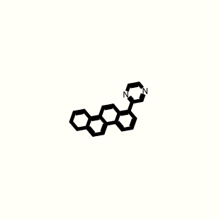 C1=Cc2c(ccc3c2ccc2c(-c4cnccn4)cccc23)CC1